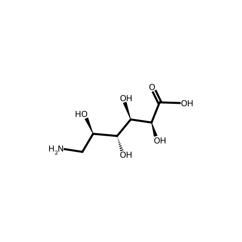 NC[C@@H](O)[C@@H](O)[C@@H](O)[C@H](O)C(=O)O